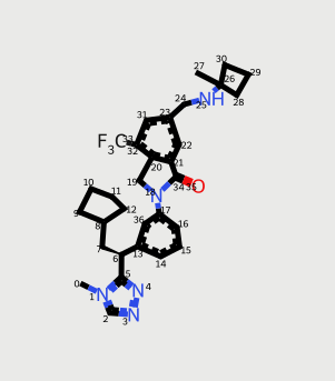 Cn1cnnc1[C@@H](CC1CCCC1)c1cccc(N2Cc3c(cc(CNC4(C)CCC4)cc3C(F)(F)F)C2=O)c1